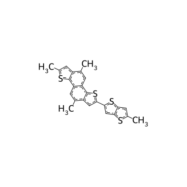 Cc1cc2sc(-c3cc4c(C)cc5c(cc(C)c6cc(C)sc65)c4s3)cc2s1